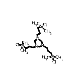 C[Si](C)(Cl)CCCN1CN(CCC[Si](C)(C)Cl)CN(CCC[Si](C)(C)Cl)C1